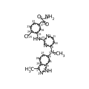 Cc1n[nH]c2cc(N(C)c3ccnc(Nc4cc(S(N)(=O)=O)ccc4Cl)n3)ccc12